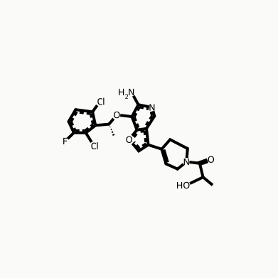 CC(O)C(=O)N1CC=C(c2coc3c(O[C@H](C)c4c(Cl)ccc(F)c4Cl)c(N)ncc23)CC1